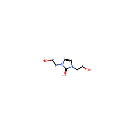 O=c1n(CCO)ccn1CCO